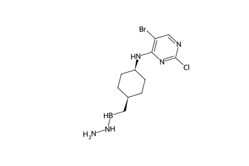 NNBC[C@H]1CC[C@@H](Nc2nc(Cl)ncc2Br)CC1